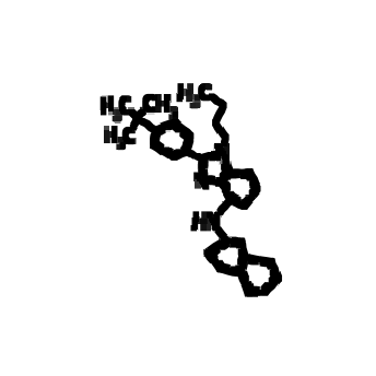 CCCCn1c(-c2ccc(C(C)(C)C)cc2)nc2c(Nc3ccc4ccccc4c3)cccc21